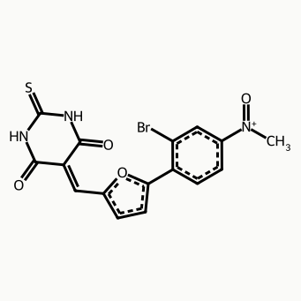 C[N+](=O)c1ccc(-c2ccc(C=C3C(=O)NC(=S)NC3=O)o2)c(Br)c1